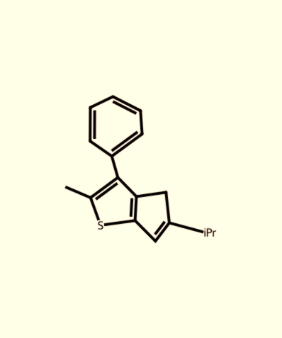 Cc1sc2c(c1-c1ccccc1)CC(C(C)C)=C2